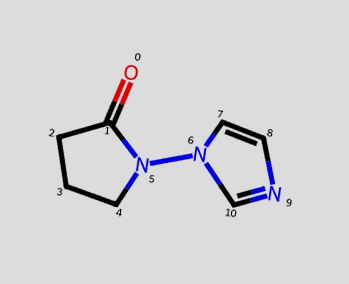 O=C1CCCN1n1ccnc1